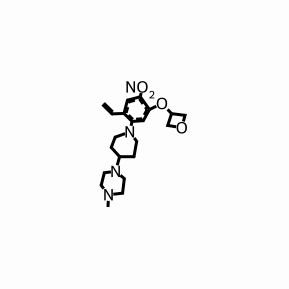 C=Cc1cc([N+](=O)[O-])c(OC2COC2)cc1N1CCC(N2CCN(C)CC2)CC1